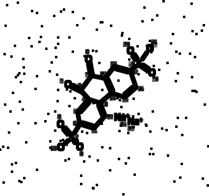 O=C1C(=O)c2cc(S(=O)(=O)[O-])ccc2-c2ccc(S(=O)(=O)[O-])cc21.[Na+].[Na+]